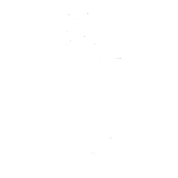 C[C@H]1C(O)O[C@H](CNS(=O)(=O)/C(C#N)=C/c2ccc(-c3ccc4cc(NCCN5CCOCC5)ccc4c3)s2)[C@@H](O)[C@@H]1O